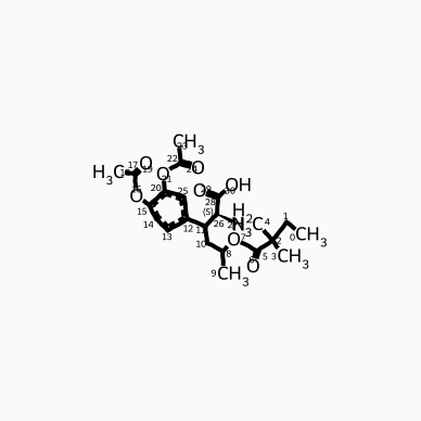 CCC(C)(C)C(=O)OC(C)CC(c1ccc(OC(C)=O)c(OC(C)=O)c1)[C@H](N)C(=O)O